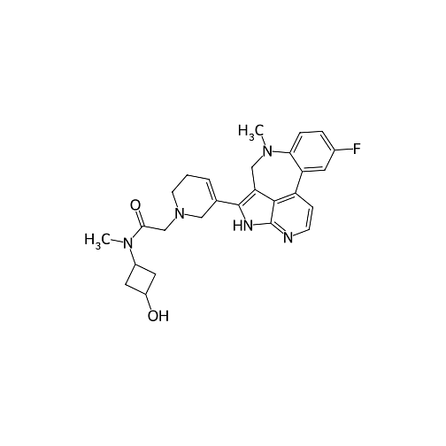 CN1Cc2c(C3=CCCN(CC(=O)N(C)C4CC(O)C4)C3)[nH]c3nccc(c23)-c2cc(F)ccc21